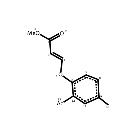 COC(=O)C=COc1ccc(C)cc1C(C)=O